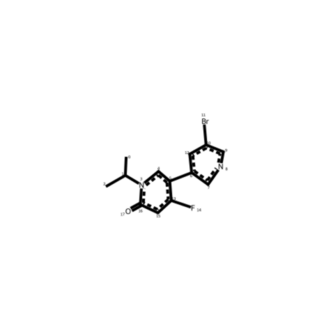 CC(C)n1cc(-c2cncc(Br)c2)c(F)cc1=O